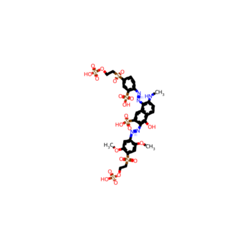 CNc1ccc2c(O)c(/N=N/c3cc(OC)c(S(=O)(=O)CCOS(=O)(=O)O)cc3OC)c(S(=O)(=O)O)cc2c1/N=N/c1ccc(S(=O)(=O)CCOS(=O)(=O)O)cc1S(=O)(=O)O